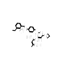 CCc1cccc(C(=O)Nc2ccc(Sc3nc(NC(=N)/C=C(/C)N)cc(N4CCC4)n3)cc2)c1Cl